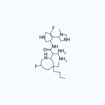 CCCCC1(CC)CCC(F)CNC(C(C(=O)NC2CNCC(F)=C2C2CNCN2C)C(N)N)C1